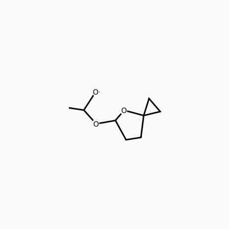 CC([O])OC1CCC2(CC2)O1